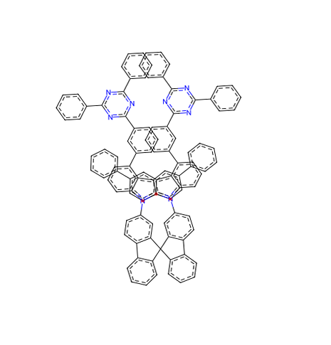 c1ccc(-c2ccc3c(c2)c2c(-c4cccc(-c5nc(-c6ccccc6)nc(-c6ccccc6)n5)c4)cccc2n3-c2ccc3c(c2)C2(c4ccccc4-3)c3ccccc3-c3ccc(-n4c5ccc(-c6ccccc6)cc5c5c(-c6cccc(-c7nc(-c8ccccc8)nc(-c8ccccc8)n7)c6)cccc54)cc32)cc1